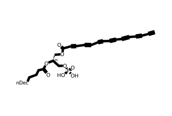 C#CC#CC#CC#CC#CC#CC#CC(=O)OC[C@H](COP(=O)(O)O)OC(=O)CCCCCCCCCCCCC